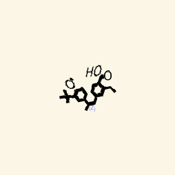 CCc1cc(/C=C(/C)c2ccc(OC)c(C(C)(C)C)c2)ccc1C(=O)O